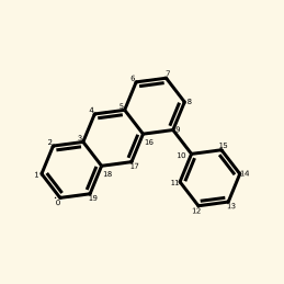 [c]1ccc2cc3cccc(-c4ccccc4)c3cc2c1